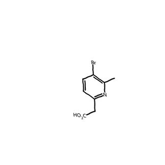 Cc1nc(CC(=O)O)ccc1Br